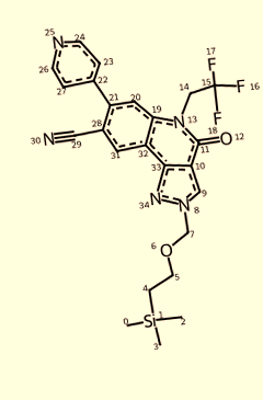 C[Si](C)(C)CCOCn1cc2c(=O)n(CC(F)(F)F)c3cc(-c4ccncc4)c(C#N)cc3c2n1